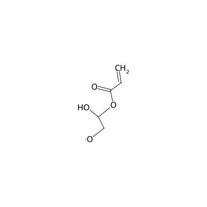 C=CC(=O)OC(O)C[O]